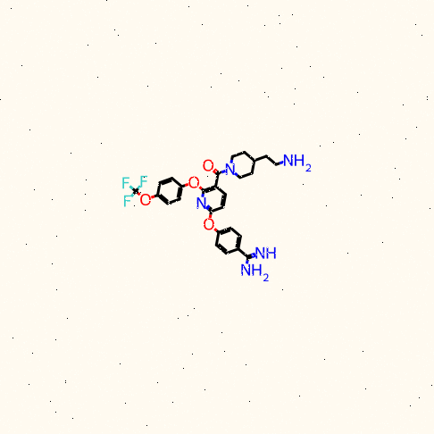 N=C(N)c1ccc(Oc2ccc(C(=O)N3CCC(CCN)CC3)c(Oc3ccc(OC(F)(F)F)cc3)n2)cc1